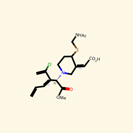 C=C/C=C(\C(=C)Cl)[C@@H](C(=O)OC)N1CCC(SCNC(C)=O)/C(=C\C(=O)O)C1